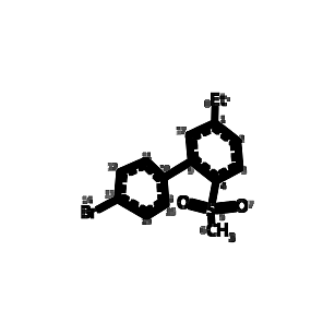 C[CH]c1ccc(S(C)(=O)=O)c(-c2ccc(Br)cc2)c1